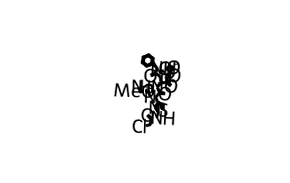 CON=C(C(=O)NC1C(=O)N(S(=O)(=O)[O-])C1C(=O)Nc1ccccc1)c1csc(NC(=O)CCl)n1.[Na+]